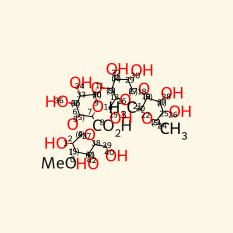 CO[C@@H]1C(O)[C@H](O[C@@H]2C(C(=O)O)O[C@@H](O[C@@H]3C(CO)O[C@@H](O[C@H]4C(C)O[C@@H](C)C(O)[C@H]4O)C(O)[C@H]3O)C(O)[C@@H]2O)OC(CO)[C@H]1O